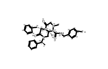 C[C@@H](c1ccccc1)N1C[C@H]2N(C(=O)CN(C)N2C(=O)NCc2ccc(F)cc2)[C@@H](Cc2ccccc2)C1=O